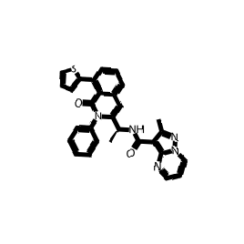 Cc1nn2cccnc2c1C(=O)N[C@@H](C)c1cc2cccc(-c3cccs3)c2c(=O)n1-c1ccccc1